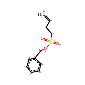 C=CCCS(=O)(=O)OCc1ccccc1